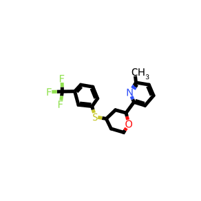 Cc1cccc(C2CC(Sc3cccc(C(F)(F)F)c3)CCO2)n1